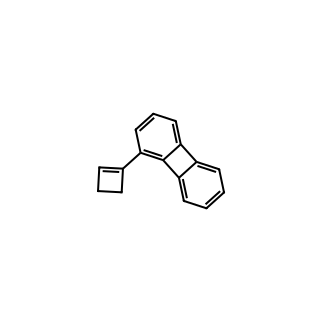 C1=C(c2cccc3c2-c2ccccc2-3)CC1